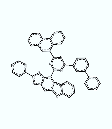 c1ccc(-c2cccc(-c3nc(-c4cc5ccccc5c5ccccc45)nc(-c4c5sc(-c6ccccc6)nc5cc5oc6ccccc6c45)n3)c2)cc1